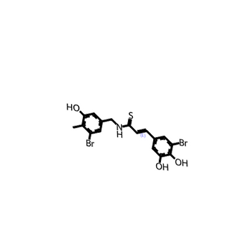 Cc1c(O)cc(CNC(=S)/C=C/c2cc(O)c(O)c(Br)c2)cc1Br